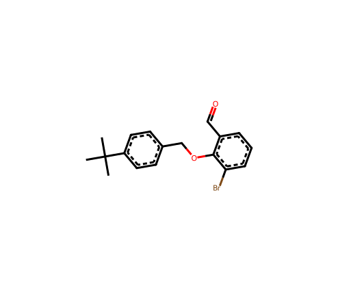 CC(C)(C)c1ccc(COc2c(Br)cccc2C=O)cc1